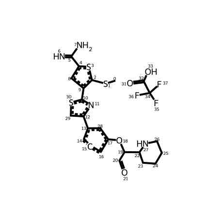 CSc1sc(C(=N)N)cc1-c1nc(-c2cccc(OC(C=O)C3CCCCN3)c2)cs1.O=C(O)C(F)(F)F